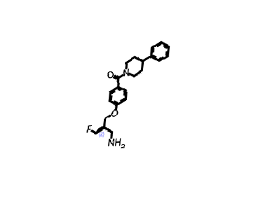 NC/C(=C/F)COc1ccc(C(=O)N2CCC(c3ccccc3)CC2)cc1